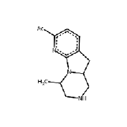 CC(=O)c1ccc2c(n1)N1C(C)CNCC1C2